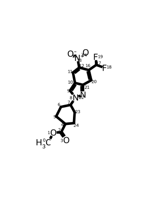 COC(=O)C1CCC(n2cc3cc([N+](=O)[O-])c(C(F)F)cc3n2)CC1